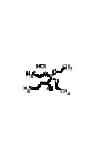 Cl.[2H]C(CCN)[Si](OCC)(OCC)OCC